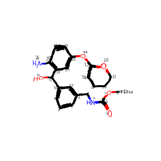 CC(C)(C)OC(=O)NCc1cccc(C(O)c2cc(OC3CCCCO3)ccc2N)c1